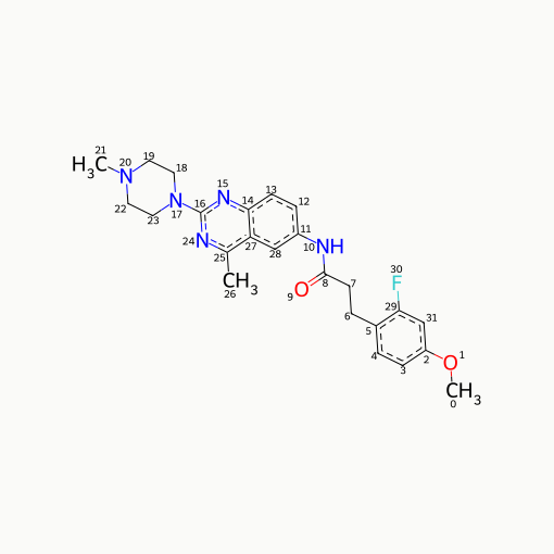 COc1ccc(CCC(=O)Nc2ccc3nc(N4CCN(C)CC4)nc(C)c3c2)c(F)c1